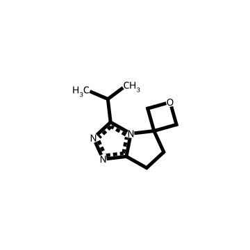 CC(C)c1nnc2n1C1(CC2)COC1